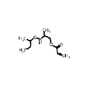 C=CC(=O)OCC(C)NOC(C)CC